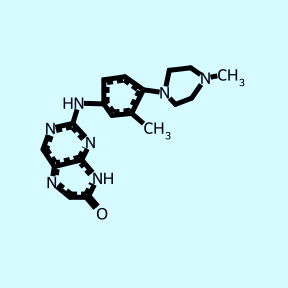 Cc1cc(Nc2ncc3ncc(=O)[nH]c3n2)ccc1N1CCN(C)CC1